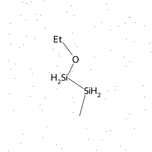 CCO[SiH2][SiH2]C